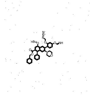 CCCCOc1cc(C(=O)OCc2ccccc2)c(-c2ccccc2)c2cc(N3CCOCC3)c(-c3ccc(OC=N)cc3OCN=[N+]=[N-])cc12